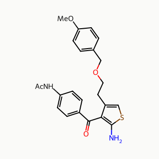 COc1ccc(COCCc2csc(N)c2C(=O)c2ccc(NC(C)=O)cc2)cc1